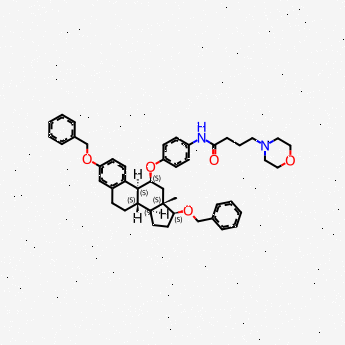 C[C@]12C[C@H](Oc3ccc(NC(=O)CCCN4CCOCC4)cc3)[C@@H]3c4ccc(OCc5ccccc5)cc4CC[C@H]3[C@@H]1CC[C@@H]2OCc1ccccc1